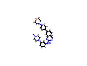 CN1CCN(c2cccc(Nc3ncc4ccc(-c5ccc(N6CCOCC6)cc5)cc4n3)c2)CC1